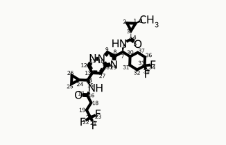 C[C@@H]1C[C@H]1C(=O)N[C@H](c1cn2ncc(C(NC(=O)CCC(F)(F)F)C3CC3)cc2n1)C1CCC(F)(F)CC1